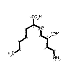 NCCCC[C@H](NC[C@H](O)CCN)C(=O)O